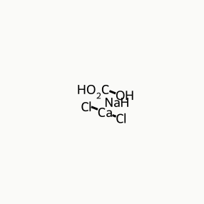 O=C(O)O.[Cl][Ca][Cl].[NaH]